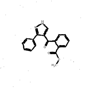 COC(=O)c1ccccc1C(=O)c1c[nH]nc1-c1ccccc1